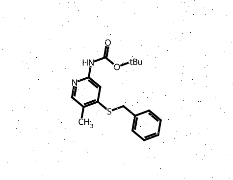 Cc1cnc(NC(=O)OC(C)(C)C)cc1SCc1ccccc1